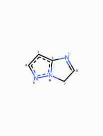 C1=Nc2ccnn2C1